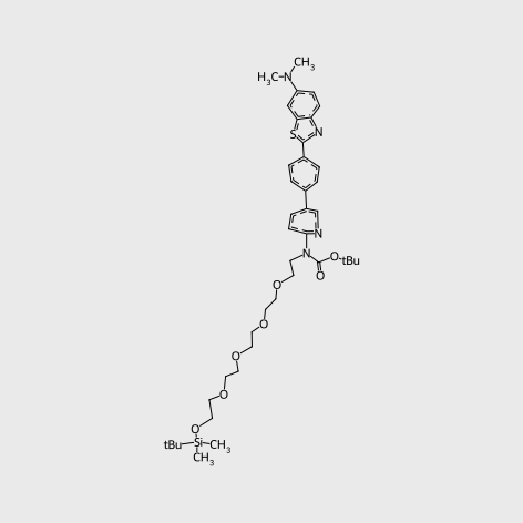 CN(C)c1ccc2nc(-c3ccc(-c4ccc(N(CCOCCOCCOCCOCCO[Si](C)(C)C(C)(C)C)C(=O)OC(C)(C)C)nc4)cc3)sc2c1